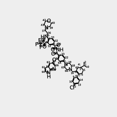 CC(C)[C@@]1(C)CCC(c2ccc(Cl)cc2)=C(CN2CCN(c3ccc(C(=O)NS(=O)(=O)c4ccc(NCCN5CCOCC5)c(S(=O)(=O)C(F)(F)F)c4)c(Oc4cnc5[nH]ccc5c4)c3)CC2)C1